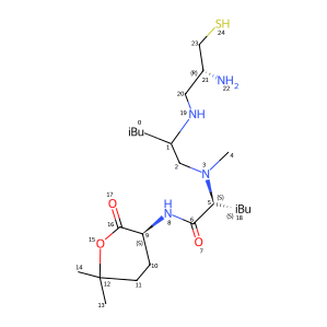 CCC(C)C(CN(C)[C@H](C(=O)N[C@H]1CCC(C)(C)OC1=O)[C@@H](C)CC)NC[C@@H](N)CS